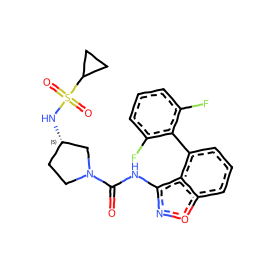 O=C(Nc1noc2cccc(-c3c(F)cccc3F)c12)N1CC[C@H](NS(=O)(=O)C2CC2)C1